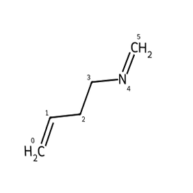 C=CCCN=C